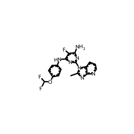 Cc1nc2ncccc2n1-c1nc(N)c(F)c(Nc2ccc(OC(F)F)cc2)n1